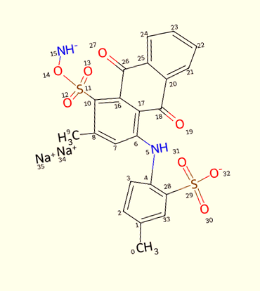 Cc1ccc(Nc2cc(C)c(S(=O)(=O)O[NH-])c3c2C(=O)c2ccccc2C3=O)c(S(=O)(=O)[O-])c1.[Na+].[Na+]